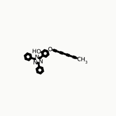 CC#CC#CC#CC#COc1ccc(-c2nc(-c3ccccc3)nc(-c3ccccc3)n2)c(O)c1